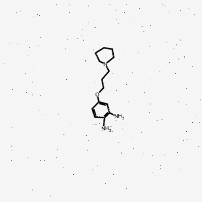 Nc1ccc(OCCCN2CCCCC2)cc1N